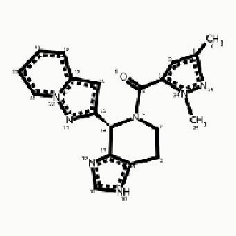 Cc1cc(C(=O)N2CCc3[nH]cnc3[C@H]2c2cc3ccccn3n2)n(C)n1